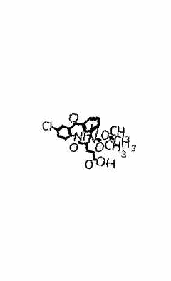 CC(C)(C)OC(=O)NC(CCC(=O)O)C(=O)Nc1ccc(Cl)cc1C(=O)c1ccccc1